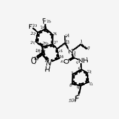 CCN(C(=O)Nc1ccc(F)cc1)C(C)c1c[nH]c(=O)c2cc(F)c(F)cc12